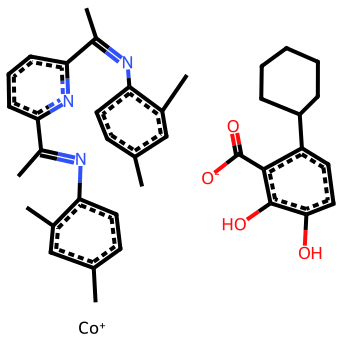 CC(=Nc1ccc(C)cc1C)c1cccc(C(C)=Nc2ccc(C)cc2C)n1.O=C([O-])c1c(C2CCCCC2)ccc(O)c1O.[Co+]